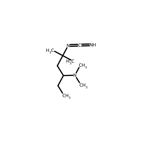 CCC(CC(C)(C)N=C=N)N(C)C